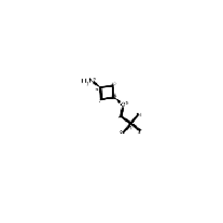 CC(C)(C)CO[C@H]1C[C@@H](N)C1